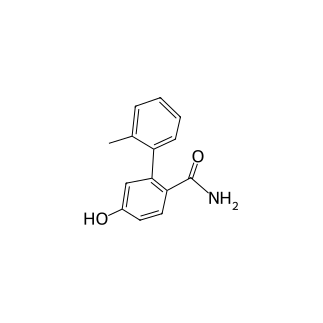 Cc1ccccc1-c1cc(O)ccc1C(N)=O